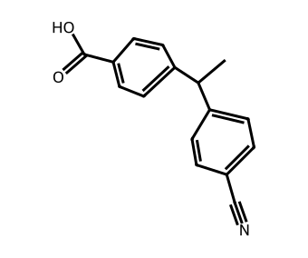 CC(c1ccc(C#N)cc1)c1ccc(C(=O)O)cc1